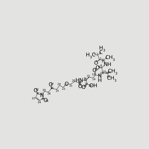 CC(C)C(=O)[C@H](C)NC(=O)[C@@H](NC(=O)CC[C@H](NC(=O)CCOCCCC(=O)CCN1C(=O)C=CC1=O)C(=O)O)C(C)C